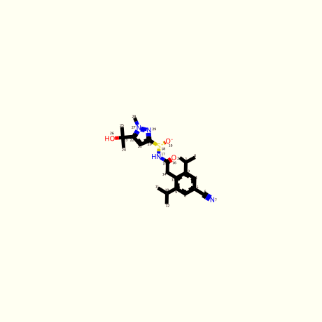 CC(C)c1cc(C#N)cc(C(C)C)c1CC(=O)N[S+]([O-])c1cc(C(C)(C)O)n(C)n1